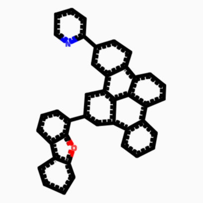 c1ccc(-c2ccc3c(c2)c2cc(-c4cccc5c4oc4ccccc45)cc4c5ccccc5c5cccc3c5c42)nc1